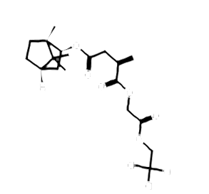 C=C(CC(=O)O[C@H]1C[C@@H]2CC[C@@]1(C)C2(C)C)C(=O)OCC(=O)OCC(Cl)(Cl)Cl